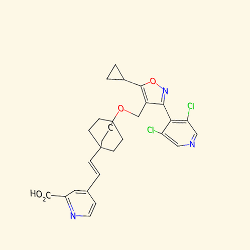 O=C(O)c1cc(/C=C/C23CCC(OCc4c(-c5c(Cl)cncc5Cl)noc4C4CC4)(CC2)CC3)ccn1